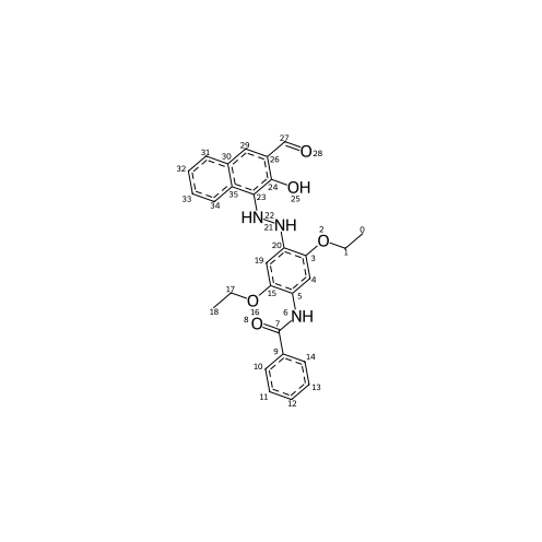 CCOc1cc(NC(=O)c2ccccc2)c(OCC)cc1NNc1c(O)c(C=O)cc2ccccc12